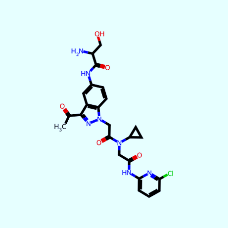 CC(=O)c1nn(CC(=O)N(CC(=O)Nc2cccc(Cl)n2)C2CC2)c2ccc(NC(=O)C(N)CO)cc12